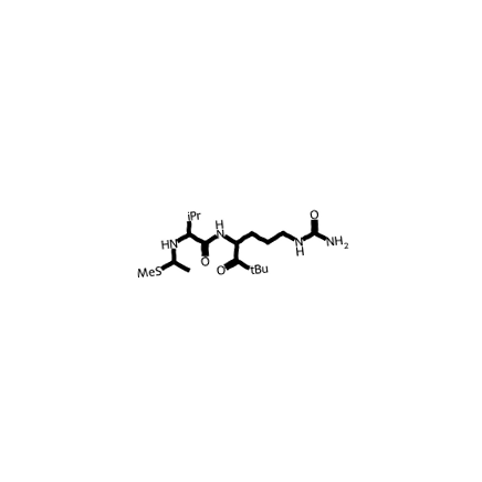 CSC(C)NC(C(=O)NC(CCCNC(N)=O)C(=O)C(C)(C)C)C(C)C